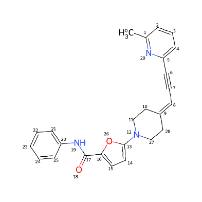 Cc1cccc(C#CC=C2CCN(c3ccc(C(=O)Nc4ccccc4)o3)CC2)n1